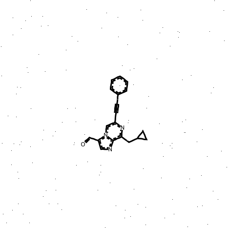 O=Cc1cnc2c(CC3CC3)nc(C#Cc3ccccc3)cn12